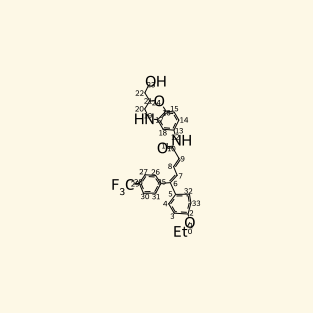 CCOc1ccc(C(=CC=CC(=O)Nc2ccc3c(c2)NCC(CO)O3)c2ccc(C(F)(F)F)cc2)cc1